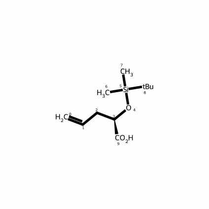 C=CC[C@@H](O[Si](C)(C)C(C)(C)C)C(=O)O